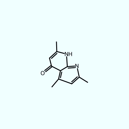 Cc1cc(C)c2c(=O)cc(C)[nH]c2n1